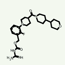 N=C(N)NC(=O)OCc1cccc(N2CCC(C(=O)N3CCC(C4CCOCC4)CC3)CC2)c1F